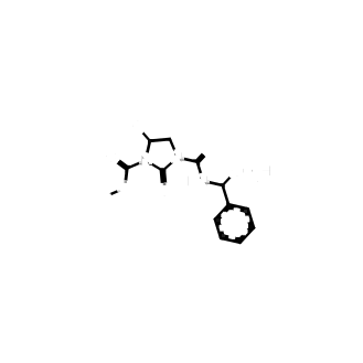 CC(C)OC(=O)N1C(=O)N(C(=O)NC(C(=O)O)c2ccccc2)CC1C